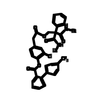 CCNC(=O)C(COC(=O)Cc1ccc(OC(=O)c2ccccc2-c2ccc(C(F)(F)F)cc2)c(Cl)c1)(C(=O)NCC)c1ccccc1